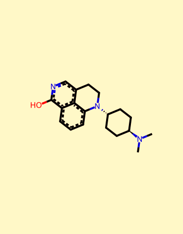 CN(C)[C@H]1CC[C@H](N2CCc3cnc(O)c4cccc2c34)CC1